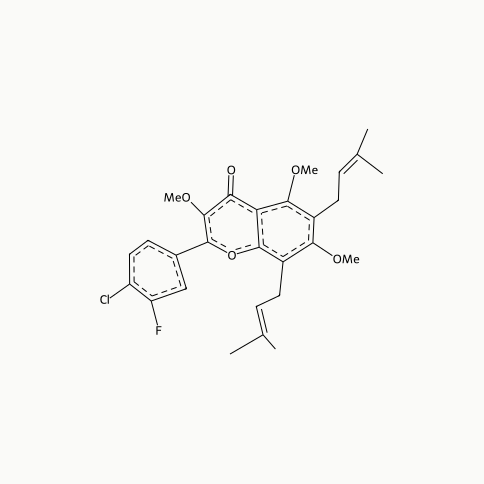 COc1c(CC=C(C)C)c(OC)c2c(=O)c(OC)c(-c3ccc(Cl)c(F)c3)oc2c1CC=C(C)C